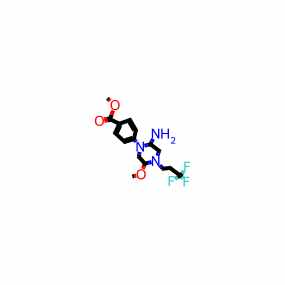 COC(=O)c1ccc(N2CC(OC)N(CCC(F)(F)F)CC2N)cc1